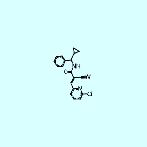 N#C/C(=C\c1cccc(Cl)n1)C(=O)NC(c1ccccc1)C1CC1